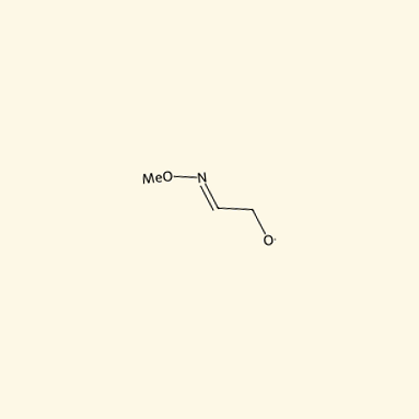 CON=CC[O]